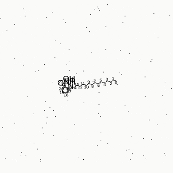 CCCCCCCCCCC=CCCCNc1ccccc1C(=O)NO